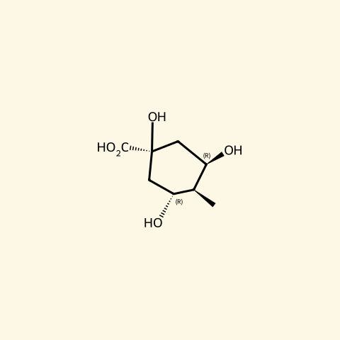 C[C@H]1[C@H](O)C[C@](O)(C(=O)O)C[C@H]1O